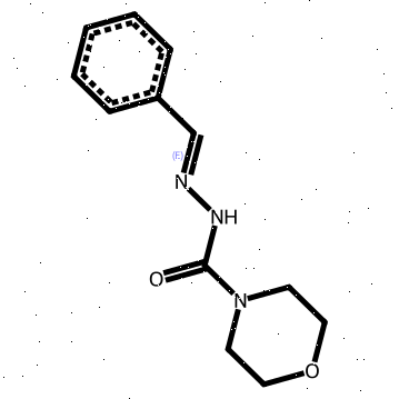 O=C(N/N=C/c1ccccc1)N1CCOCC1